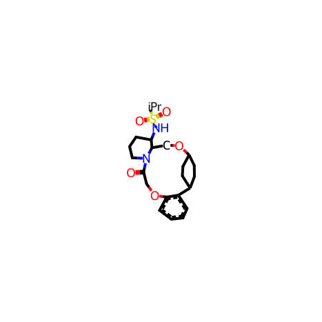 CC(C)S(=O)(=O)NC1CCCN2C(=O)COc3ccccc3C3CCC(CC3)OCC12